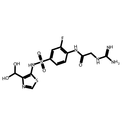 N=C(N)NCC(=O)Nc1ccc(S(=O)(=O)Nc2scnc2C(O)O)cc1F